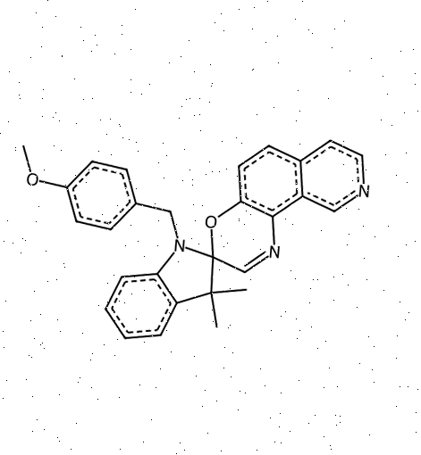 COc1ccc(CN2c3ccccc3C(C)(C)C23C=Nc2c(ccc4ccncc24)O3)cc1